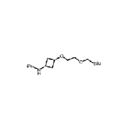 CC(C)N[C@H]1C[C@@H](OCCOCC(C)(C)C)C1